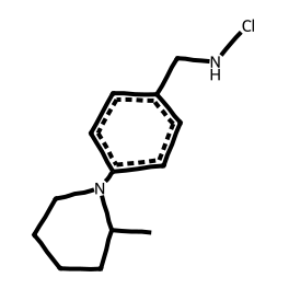 CC1CCCCN1c1ccc(CNCl)cc1